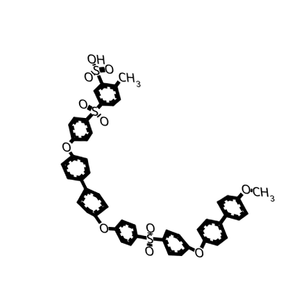 COc1ccc(-c2ccc(Oc3ccc(S(=O)(=O)c4ccc(Oc5ccc(-c6ccc(Oc7ccc(S(=O)(=O)c8ccc(C)c(S(=O)(=O)O)c8)cc7)cc6)cc5)cc4)cc3)cc2)cc1